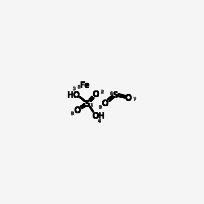 O=S(=O)(O)O.O=S=O.[Fe]